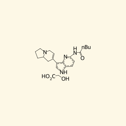 CCCCC(=O)Nc1ccc2[nH]cc(C3=CCN4CCCC4C3)c2n1.O=C(O)CO